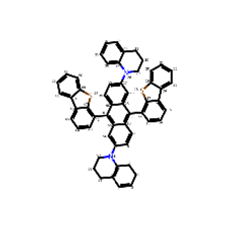 C1=CC2=C(CC1)N(c1ccc3c(-c4cccc5c4sc4ccccc45)c4cc(N5CCCc6ccccc65)ccc4c(-c4cccc5c4sc4ccccc45)c3c1)CCC2